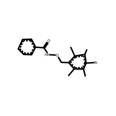 Cc1c(C)c(CONC(=O)c2ccccc2)c(C)c(C)c1Br